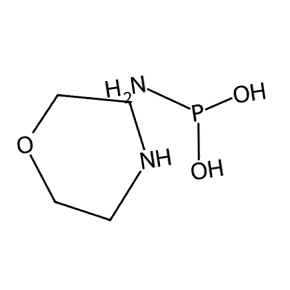 C1COCCN1.NP(O)O